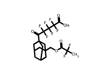 CC(F)(F)C(=O)OCC12CC3CC(C1)CC(C(=O)C(F)(F)C(F)(F)C(F)(F)C(=O)O)(C3)C2